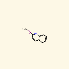 C[PH3]c1ccc2ccccc2n1